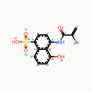 C=C(Br)C(=O)Nc1ccc(S(=O)(=O)O)c2cccc(O)c12